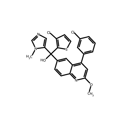 COc1cc(-c2cccc(Cl)c2)c2cc(C(O)(c3sccc3Cl)c3cncn3C)ccc2n1